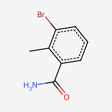 Cc1c(Br)cccc1C(N)=O